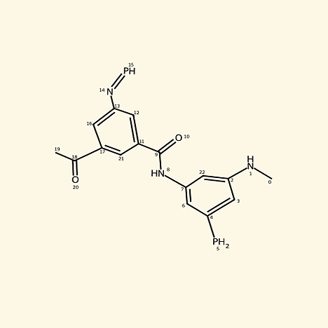 CNc1cc(P)cc(NC(=O)c2cc(N=P)cc(C(C)=O)c2)c1